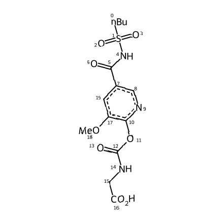 CCCCS(=O)(=O)NC(=O)c1cnc(OC(=O)NCC(=O)O)c(OC)c1